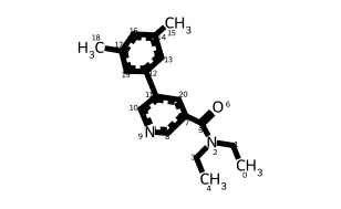 CCN(CC)C(=O)c1cncc(-c2cc(C)cc(C)c2)c1